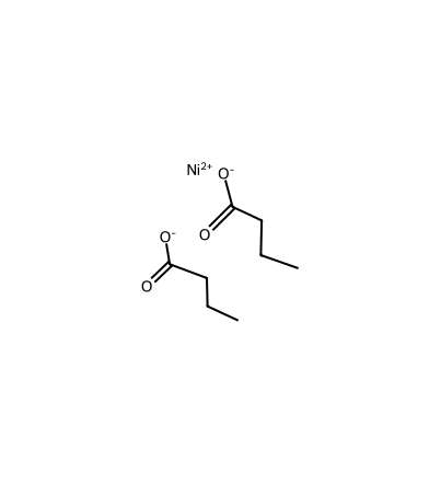 CCCC(=O)[O-].CCCC(=O)[O-].[Ni+2]